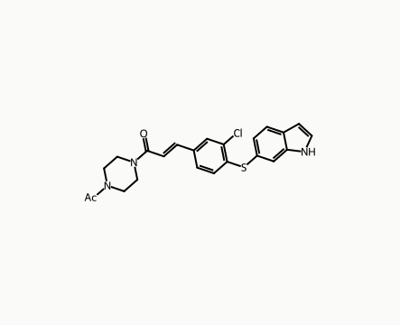 CC(=O)N1CCN(C(=O)/C=C/c2ccc(Sc3ccc4cc[nH]c4c3)c(Cl)c2)CC1